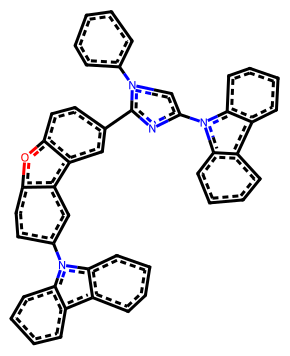 c1ccc(-n2cc(-n3c4ccccc4c4ccccc43)nc2-c2ccc3oc4ccc(-n5c6ccccc6c6ccccc65)cc4c3c2)cc1